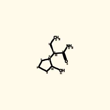 CC[C@@H](C(N)=O)N1CCCC1O